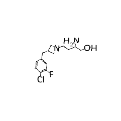 NC(CO)CCN1CC(Cc2ccc(Cl)c(F)c2)C1